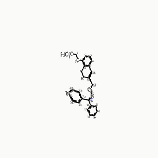 O=C(O)COc1cccc2c1CCC(CO/N=C(/c1ccccc1)c1ccncc1)=C2